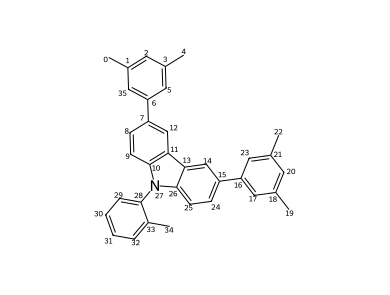 Cc1cc(C)cc(-c2ccc3c(c2)c2cc(-c4cc(C)cc(C)c4)ccc2n3-c2ccccc2C)c1